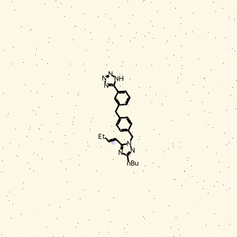 CC/C=C/c1nc(CCCC)nn1Cc1ccc(Cc2cccc(-c3nnn[nH]3)c2)cc1